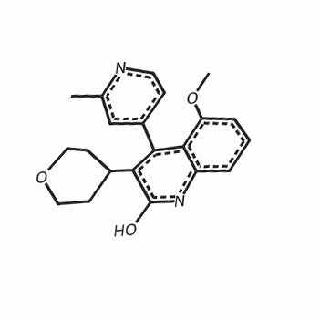 COc1cccc2nc(O)c(C3CCOCC3)c(-c3ccnc(C)c3)c12